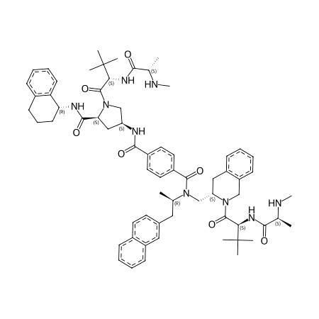 CN[C@@H](C)C(=O)N[C@H](C(=O)N1Cc2ccccc2C[C@H]1CN(C(=O)c1ccc(C(=O)N[C@H]2C[C@@H](C(=O)N[C@@H]3CCCc4ccccc43)N(C(=O)[C@@H](NC(=O)[C@H](C)NC)C(C)(C)C)C2)cc1)[C@H](C)Cc1ccc2ccccc2c1)C(C)(C)C